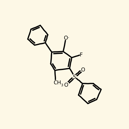 Cc1cc(-c2ccccc2)c([O])c(F)c1S(=O)(=O)c1ccccc1